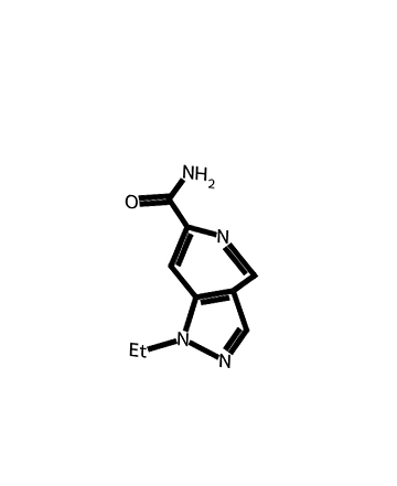 CCn1ncc2cnc(C(N)=O)cc21